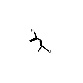 C=C(/C=C(\C)C(F)(F)F)C(C)C